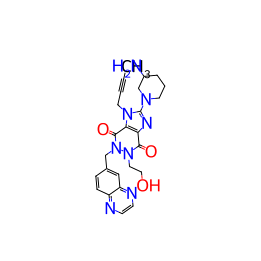 CC#CCn1c(N2CCCC(N)C2)nc2c(=O)n(CCO)n(Cc3ccc4nccnc4c3)c(=O)c21